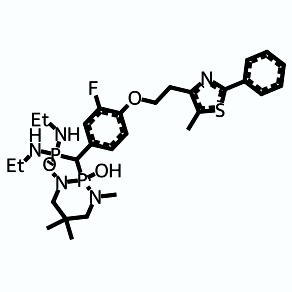 CCNP(=O)(NCC)C(c1ccc(OCCc2nc(-c3ccccc3)sc2C)c(F)c1)[P]1(O)N(C)CC(C)(C)CN1C